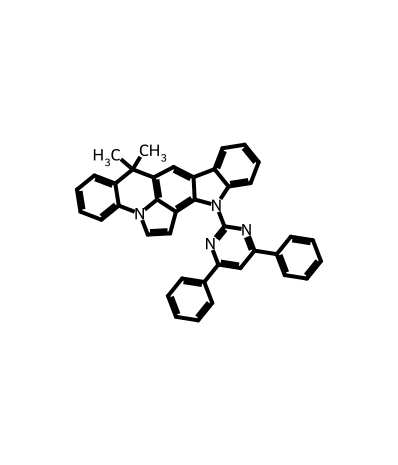 CC1(C)c2ccccc2-n2ccc3c2c1cc1c2ccccc2n(-c2nc(-c4ccccc4)cc(-c4ccccc4)n2)c13